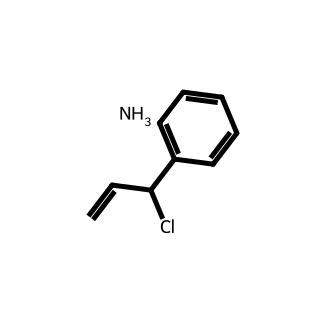 C=CC(Cl)c1ccccc1.N